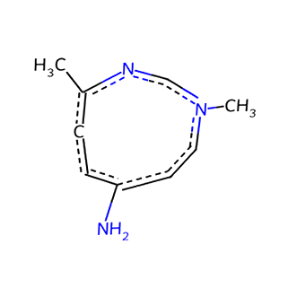 Cc1ccc(N)ccn(C)cn1